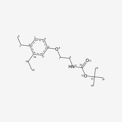 CCc1ccc(OCCNC(=O)OC(C)(C)C)cc1CC